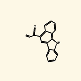 C=CC(=O)c1cc2c3ccccc3[nH]c2c2ccccc12